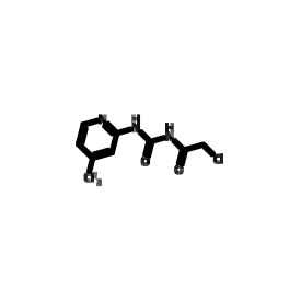 O=C(CCl)NC(=O)Nc1cc(C(F)(F)F)ccn1